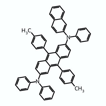 Cc1ccc(-c2c3ccc(N(c4ccccc4)c4ccc5ccccc5c4)cc3c(-c3ccc(C)cc3)c3ccc(N(c4ccccc4)c4ccccc4)cc23)cc1